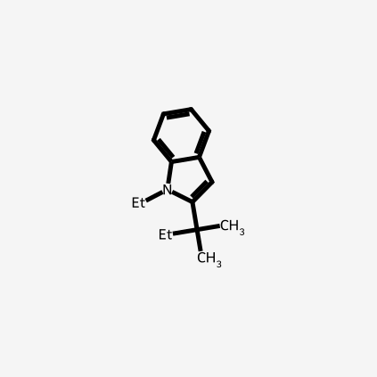 CCn1c(C(C)(C)CC)cc2ccccc21